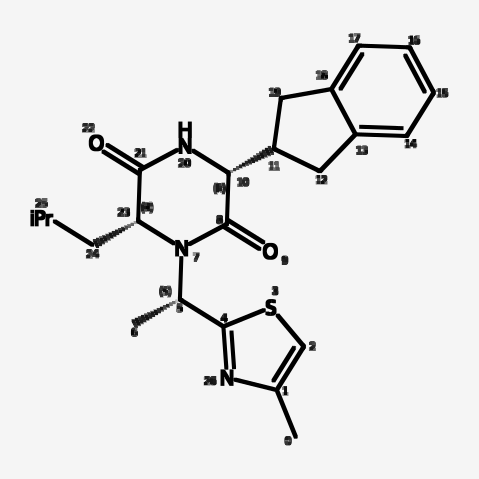 Cc1csc([C@H](C)N2C(=O)[C@@H](C3Cc4ccccc4C3)NC(=O)[C@H]2CC(C)C)n1